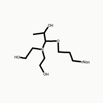 CCCCCCCCCCCCOC(C(C)O)N(CCO)CCO